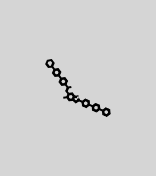 C/C(=C\c1cc2sc(-c3ccc(-c4ccc(-c5ccccc5)cc4)cc3)cc2cc1C)c1ccc(-c2ccc(C3=CCCC=C3)cc2)cc1